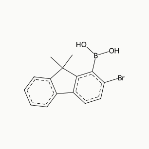 CC1(C)c2ccccc2-c2ccc(Br)c(B(O)O)c21